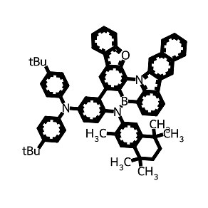 Cc1cc2c(cc1N1B3c4c(cc5c(oc6ccccc65)c4-n4c5cc6ccccc6cc5c5cccc3c54)-c3cc(N(c4ccc(C(C)(C)C)cc4)c4ccc(C(C)(C)C)cc4)ccc31)C(C)(C)CCC2(C)C